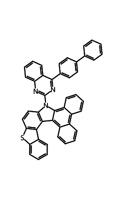 c1ccc(-c2ccc(-c3nc(-n4c5ccc6sc7ccccc7c6c5c5c6ccccc6c6ccccc6c54)nc4ccccc34)cc2)cc1